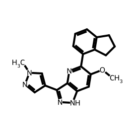 COc1cc2[nH]nc(-c3cnn(C)c3)c2nc1-c1cccc2c1CCC2